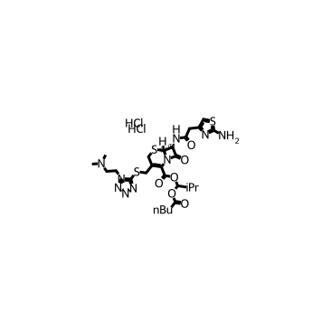 CCCCC(=O)OC(OC(=O)C1=C(CSc2nnnn2CCN(C)C)CS[C@@H]2[C@H](NC(=O)Cc3csc(N)n3)C(=O)N12)C(C)C.Cl.Cl